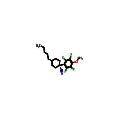 CCCCC[C@H]1CC[C@@](C#N)(c2c(F)c(F)c(OC)c(F)c2F)CC1